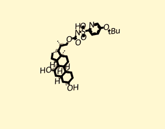 C[C@H](COC(=O)NS(=O)(=O)c1ccc(OC(C)(C)C)cn1)[C@H]1CC[C@H]2[C@@H]3[C@H](O)C[C@@H]4C[C@H](O)CC[C@]4(C)[C@H]3CC[C@]12C